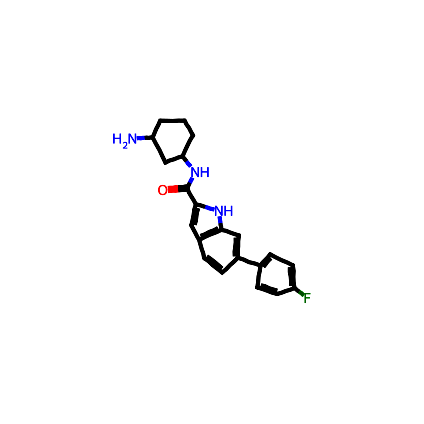 NC1CCCC(NC(=O)c2cc3ccc(-c4ccc(F)cc4)cc3[nH]2)C1